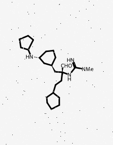 CNC(=N)N[C@](C=O)(CCC1CCCCC1)C[C@@H]1CCC[C@@H](NC2CCCC2)C1